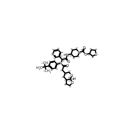 CC(C)(C)c1ccc(N(C(=O)CC2CO[C@H]3OCCC3C2)C(C(=O)NC2CCN(C(=O)OC3CCOC3)CC2)c2cccnc2)cc1